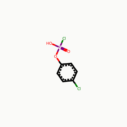 O=P(O)(Cl)Oc1ccc(Cl)cc1